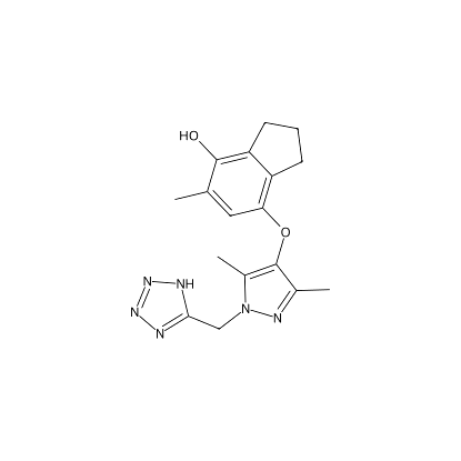 Cc1cc(Oc2c(C)nn(Cc3nnn[nH]3)c2C)c2c(c1O)CCC2